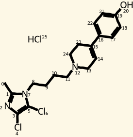 Cc1nc(Cl)c(Cl)n1CCCCN1CC=C(c2ccc(O)cc2)CC1.Cl